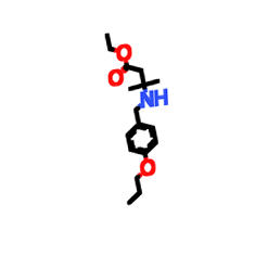 CCCOc1ccc(CNC(C)(C)CC(=O)OCC)cc1